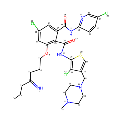 CCCC(=N)CCCOc1cc(Cl)cc(C(=O)Nc2ccc(Cl)cn2)c1C(=O)Nc1scc(CN2CCN(C)CC2)c1Cl